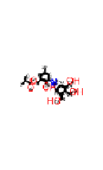 C=C(C)C(=O)OCc1cc(C)cc(/N=N/c2cc(CO)c(CO)c(CO)c2)c1O